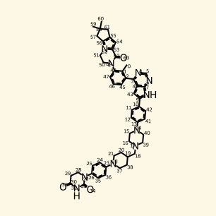 Cc1c(-c2ncnc3[nH]c(-c4ccc(N5CCN(CC6CCN(c7ccc(N8CCC(=O)NC8=O)cc7)CC6)CC5)cc4)cc23)cccc1N1CCn2c(cc3c2CC(C)(C)C3)C1=O